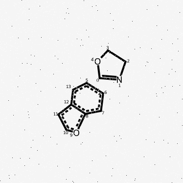 C1=NCCO1.c1ccc2occc2c1